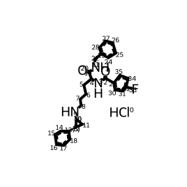 Cl.O=C(NC(CCCCN[C@@H]1C[C@H]1c1ccccc1)C(=O)NCc1ccccc1)c1ccc(F)cc1